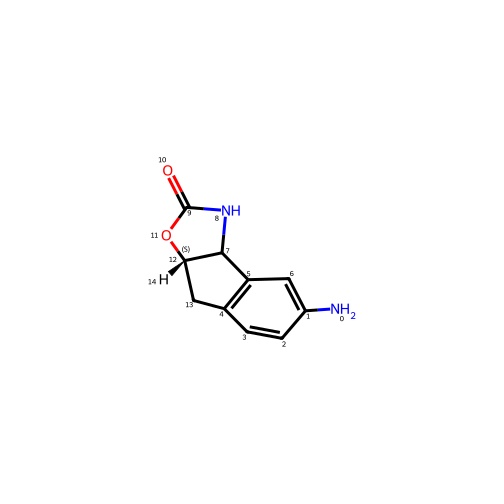 Nc1ccc2c(c1)C1NC(=O)O[C@H]1C2